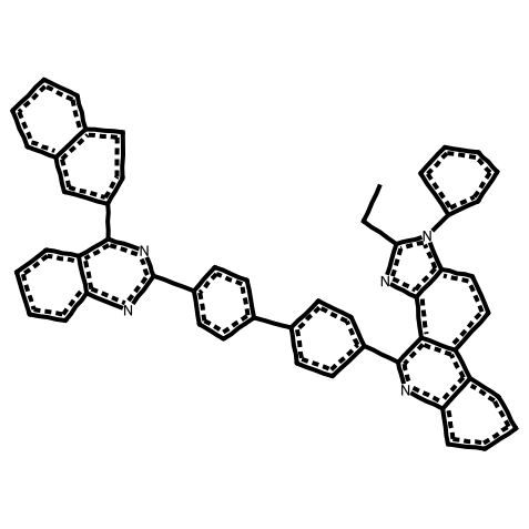 CCc1nc2c3c(-c4ccc(-c5ccc(-c6nc(-c7ccc8ccccc8c7)c7ccccc7n6)cc5)cc4)nc4ccccc4c3ccc2n1-c1ccccc1